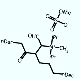 CCCCCCCCCCCCCC(C(=O)CCCCCCCCCCC)C(C=O)[N+](C)(C(C)C)C(C)C.COS(=O)(=O)[O-]